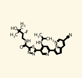 CC(C)Nc1cc(-c2ccc3cc(C#N)cnn23)ncc1-c1nnc(C(=O)NC[C@@H](F)C(C)(C)O)s1